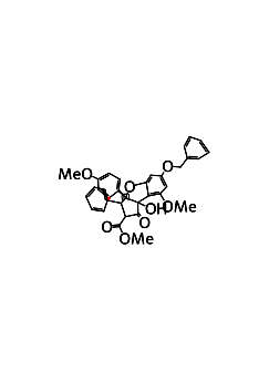 COC(=O)C1C(=O)C2(O)c3c(OC)cc(OCc4ccccc4)cc3O[C@@]2(c2ccc(OC)cc2)C1c1ccccc1